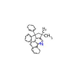 CC1(C)CC(c2ccccc2)(c2ccccc2)c2c1cnc1c2ccc2ccccc21